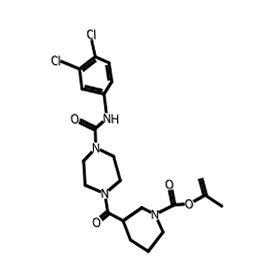 C=C(C)OC(=O)N1CCCC(C(=O)N2CCN(C(=O)Nc3ccc(Cl)c(Cl)c3)CC2)C1